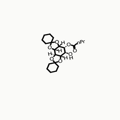 CCCC(=O)O[C@@H]1[C@@H](O)[C@@H]2OC3(CCCCC3)O[C@H]2[C@@H]2OC3(CCCCC3)O[C@@H]21